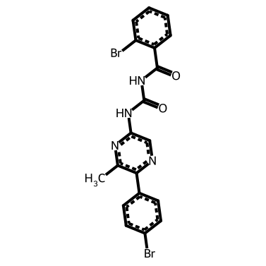 Cc1nc(NC(=O)NC(=O)c2ccccc2Br)cnc1-c1ccc(Br)cc1